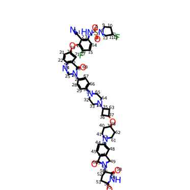 N#Cc1c(NS(=O)(=O)N2CC[C@@H](F)C2)ccc(F)c1Oc1ccc2ncn(-c3ccc(N4CCN(C5CC(OC6CCN(c7ccc8c(c7)CN([C@@H]7CCC(=O)NC7=O)C8=O)CC6)C5)CC4)cc3)c(=O)c2c1